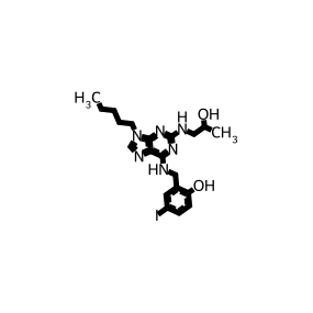 CCCCCn1cnc2c(NCc3cc(I)ccc3O)nc(NCC(C)O)nc21